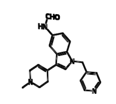 CN1CC=C(c2cn(Cc3ccncc3)c3ccc(NC=O)cc23)CC1